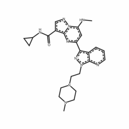 CNc1cc(-c2nn(CCN3CCN(C)CC3)c3ncccc23)nc2c(C(=O)NC3CC3)cnn12